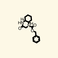 O=C1CN(C(=O)OCc2ccccc2)[C@H]2CCCC[C@@H]2N1